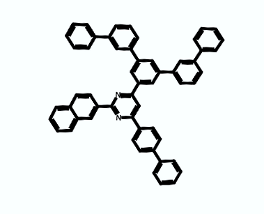 c1ccc(-c2ccc(-c3cc(-c4cc(-c5cccc(-c6ccccc6)c5)cc(-c5cccc(-c6ccccc6)c5)c4)nc(-c4ccc5ccccc5c4)n3)cc2)cc1